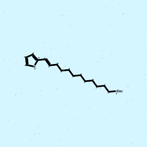 CCCCCCCCCCCCCCCCCCCC/C=C/C1=CC=C[N]1